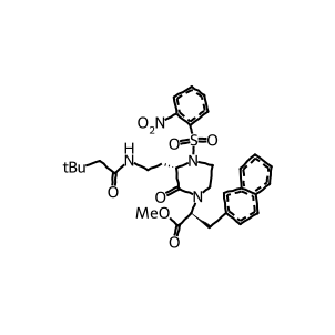 COC(=O)[C@H](Cc1ccc2ccccc2c1)N1CCN(S(=O)(=O)c2ccccc2[N+](=O)[O-])[C@@H](CCNC(=O)CC(C)(C)C)C1=O